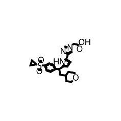 O=C(O)Cn1cnc(-c2ccc(C(CC3CCOCC3)c3ccc(S(=O)(=O)C4CC4)cc3)[nH]2)c1